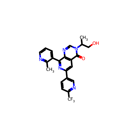 Cc1ncccc1-c1nc(-c2ccc(C(F)(F)F)nc2)cc2c(=O)n(C(C)CO)cnc12